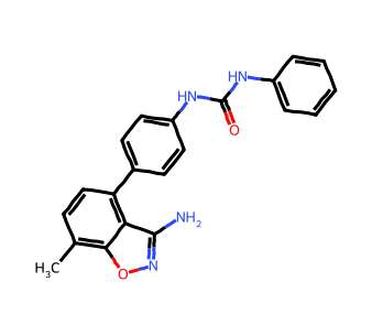 Cc1ccc(-c2ccc(NC(=O)Nc3ccccc3)cc2)c2c(N)noc12